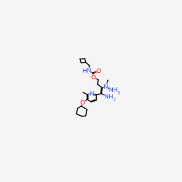 Cc1nc(/C(N)=C(\CCOC(=O)NCC2CCC2)N(C)N)ccc1OC1CCCCC1